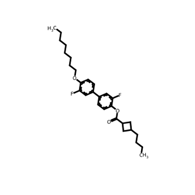 CCCCCCCCOc1ccc(-c2ccc(OC(=O)C3CC(CCCC)C3)c(F)c2)cc1F